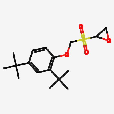 CC(C)(C)c1ccc(OCS(=O)(=O)C2CO2)c(C(C)(C)C)c1